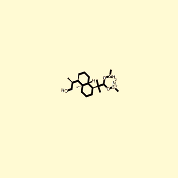 C[SiH2]OC(O[SiH2]C)C(C)(C)[C@H]1CCC[C@@]2(C)[C@@H]([C@H](C)CO)CCC[C@H]12